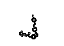 O=C(Cc1ccc2ccn(C3CCN(CCc4ccc(F)cc4)CC3)c2c1)NCC1OCCO1